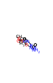 CCOC(=O)C(C)(C)Oc1cccc(CNCCCn2c(CCOC)nc3c(N)nc4ccccc4c32)c1